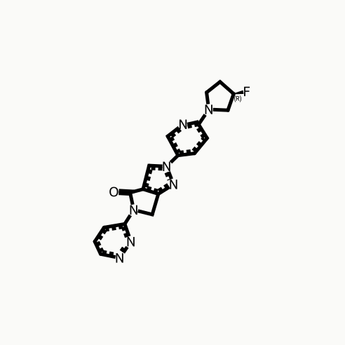 O=C1c2cn(-c3ccc(N4CC[C@@H](F)C4)nc3)nc2CN1c1cccnn1